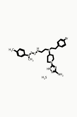 Cc1ccc(N(C)SONCCN(CCc2ccc(Br)cc2)C2CCN(c3nc(N)n[nH]3)CC2)cc1.S